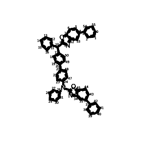 c1ccc(-c2ccc3oc(C(c4ccccc4)c4ccc(-c5ccc(N(c6ccccc6)c6nc7cc(-c8ccccc8)ccc7o6)cc5)cc4)nc3c2)cc1